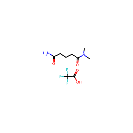 CN(C)C(=O)CCCC(N)=O.O=C(O)C(F)(F)F